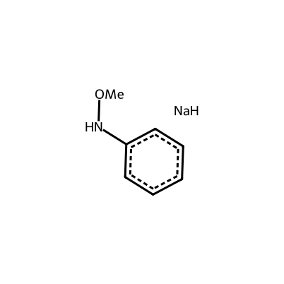 CONc1ccccc1.[NaH]